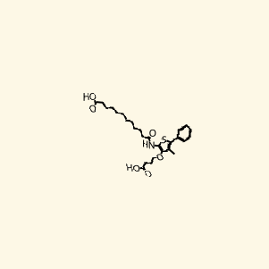 Cc1c(-c2ccccc2)sc(NC(=O)CCCCCCCCCCC(=O)O)c1OCCCC(=O)O